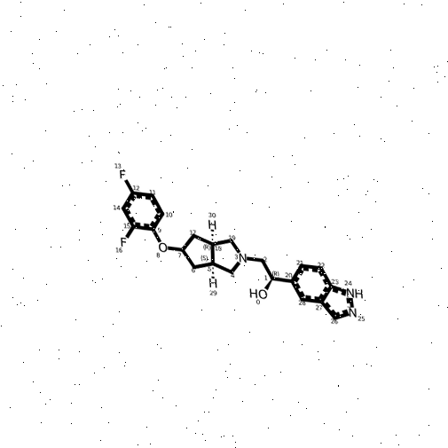 O[C@@H](CN1C[C@H]2CC(Oc3ccc(F)cc3F)C[C@H]2C1)c1ccc2[nH]ncc2c1